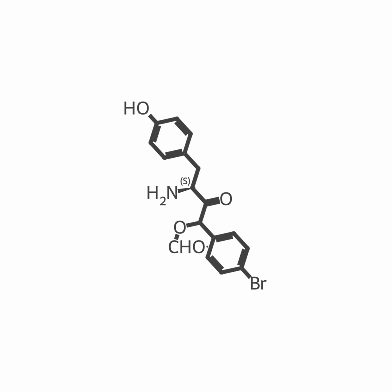 N[C@@H](Cc1ccc(O)cc1)C(=O)C(O[C]=O)c1ccc(Br)cc1